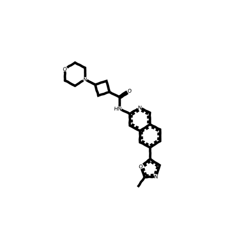 Cc1ncc(-c2ccc3cnc(NC(=O)C4CC(N5CCOCC5)C4)cc3c2)o1